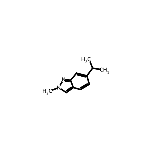 CC(C)c1ccc2cn(C)nc2c1